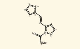 CNC(=O)n1nccc1/C=C/c1cccs1